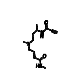 C#CC(=O)NC(C)CCN(C)C/C=C/C(=O)NC